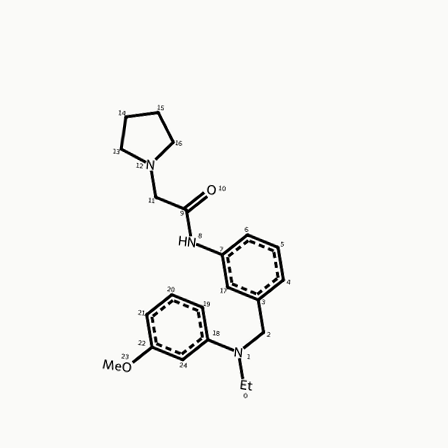 CCN(Cc1cccc(NC(=O)CN2CCCC2)c1)c1cccc(OC)c1